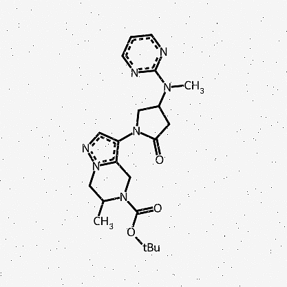 CC1Cn2ncc(N3CC(N(C)c4ncccn4)CC3=O)c2CN1C(=O)OC(C)(C)C